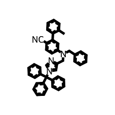 Cc1ccccc1-c1cc(N(Cc2ccccc2)Cc2cn(C(c3ccccc3)(c3ccccc3)c3ccccc3)cn2)ccc1C#N